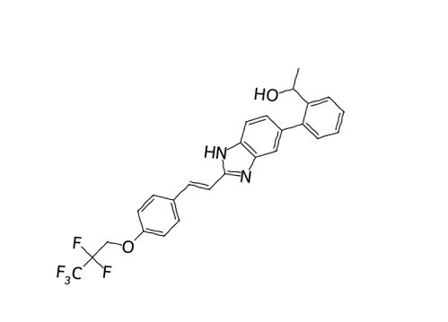 CC(O)c1ccccc1-c1ccc2[nH]c(C=Cc3ccc(OCC(F)(F)C(F)(F)F)cc3)nc2c1